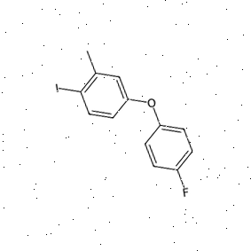 Cc1cc(Oc2ccc(F)cc2)ccc1I